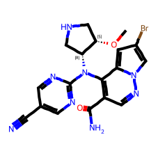 CO[C@H]1CNC[C@H]1N(c1ncc(C#N)cn1)c1c(C(N)=O)cnn2cc(Br)cc12